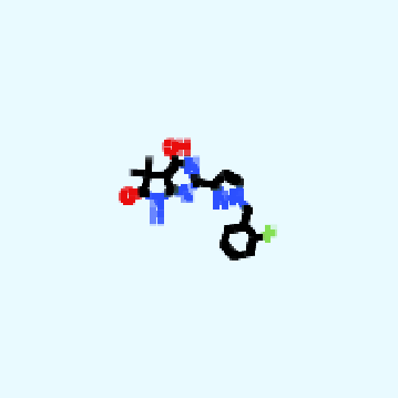 CC1(C)C(=O)Nc2nc(-c3ccn(Cc4ccccc4F)n3)nc(O)c21